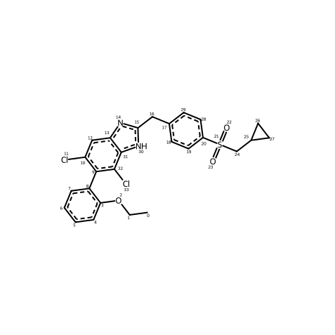 CCOc1ccccc1-c1c(Cl)cc2nc(Cc3ccc(S(=O)(=O)CC4CC4)cc3)[nH]c2c1Cl